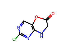 O=C1CNc2nc(Cl)ncc2O1